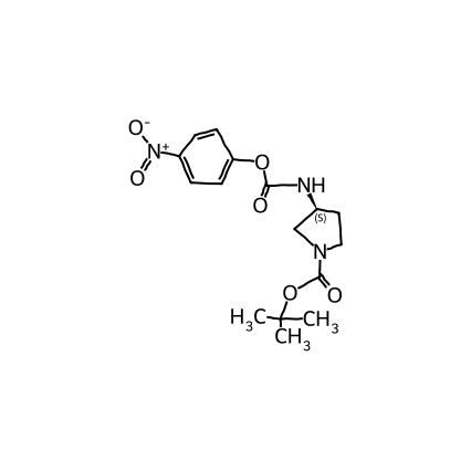 CC(C)(C)OC(=O)N1CC[C@H](NC(=O)Oc2ccc([N+](=O)[O-])cc2)C1